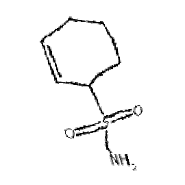 NS(=O)(=O)C1C=CCCC1